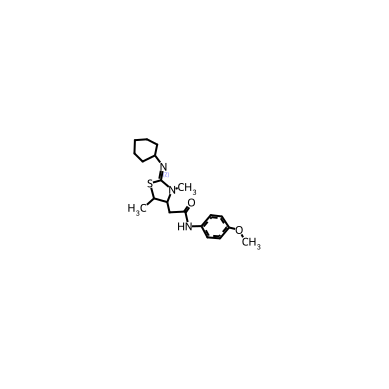 COc1ccc(NC(=O)CC2C(C)S/C(=N\C3CCCCC3)N2C)cc1